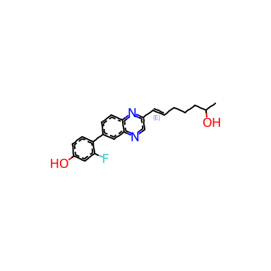 CC(O)CCC/C=C/c1cnc2cc(-c3ccc(O)cc3F)ccc2n1